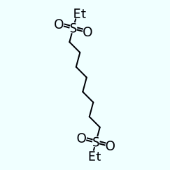 CCS(=O)(=O)CCCCCCCCS(=O)(=O)CC